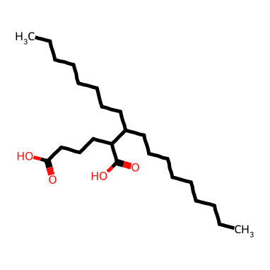 CCCCCCCCCC(CCCCCCCC)C(CCCC(=O)O)C(=O)O